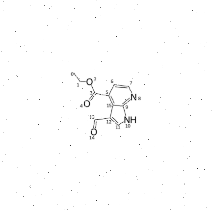 CCOC(=O)c1ccnc2[nH]cc(C=O)c12